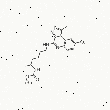 CC(=O)c1ccc2nc(NCCCCC(C)NC(=O)OC(C)(C)C)c3nnc(C)n3c2c1